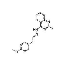 COc1ccc(CC=NNc2nc(C)nc3ccccc23)cc1